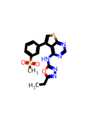 CCc1nnc(Nc2ncnc3scc(-c4cccc(S(C)(=O)=O)c4)c23)o1